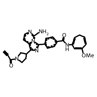 C#CC(=O)N1CCC(c2nc(-c3ccc(C(=O)NC4=CCC=CC(OC)=C4)cc3)n3c(N)nccc23)C1